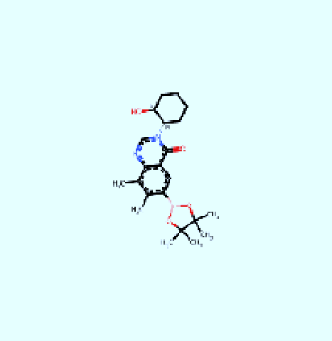 Cc1c(B2OC(C)(C)C(C)(C)O2)cc2c(=O)n([C@H]3CCCC[C@@H]3O)cnc2c1C